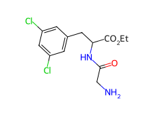 CCOC(=O)C(Cc1cc(Cl)cc(Cl)c1)NC(=O)CN